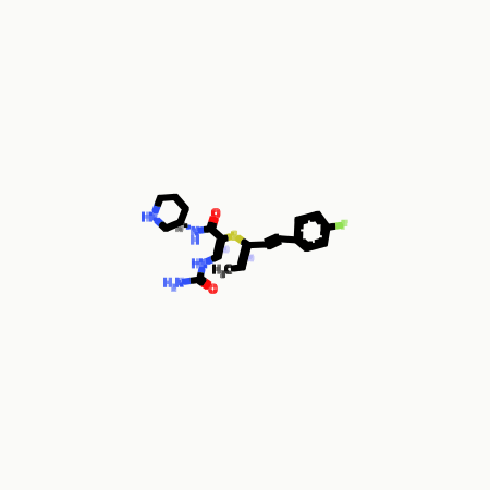 C/C=C(/C#Cc1ccc(F)cc1)S/C(=C/NC(N)=O)C(=O)N[C@H]1CCCNC1